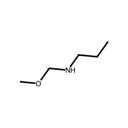 CCCN[CH]OC